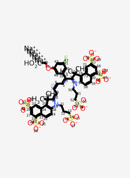 CC1(C)C(/C(=C/C=C\C=C2\N(CCCS(=O)(=O)[O-])c3ccc4c(S(=O)(=O)[O-])cc(S(=O)(=O)[O-])cc4c3C2(C)C)c2cc(F)cc(OCC(=O)O)c2)=[N+](CCCS(=O)(=O)[O-])c2ccc3c(S(=O)(=O)[O-])cc(S(=O)(=O)[O-])cc3c21.[Na+].[Na+].[Na+].[Na+].[Na+]